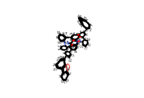 c1ccc(-c2cccc(-c3ccccc3N(c3ccc(-c4ccc(-c5cccc6c5oc5ccccc56)cc4)cc3)c3cccc(-c4ccccc4-n4c5ccccc5c5ccccc54)c3)c2)cc1